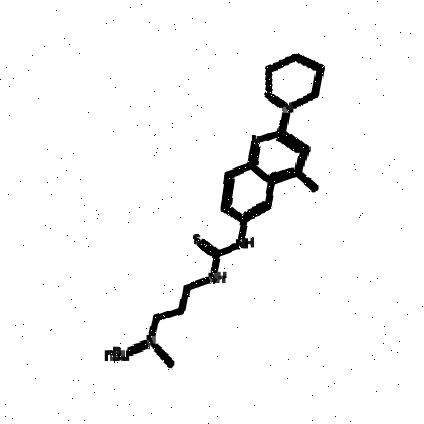 CCCCN(C)CCCNC(=S)Nc1ccc2nc(N3CCCCC3)cc(C)c2c1